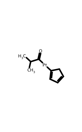 CC(C)[C](=O)[Pt][C]1=CC=CC1